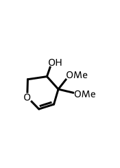 COC1(OC)C=COCC1O